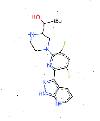 CC(C)(C)C(O)C1CN(c2nc(-c3n[nH]c4ncccc34)c(F)cc2F)CCN1